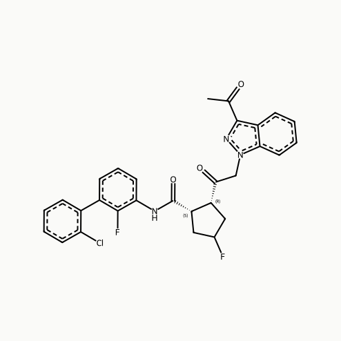 CC(=O)c1nn(CC(=O)[C@@H]2CC(F)C[C@@H]2C(=O)Nc2cccc(-c3ccccc3Cl)c2F)c2ccccc12